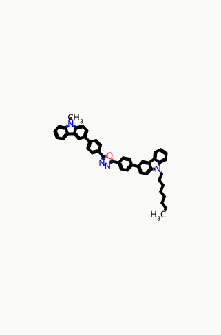 CCCCCCCCn1c2ccccc2c2cc(-c3ccc(-c4nnc(-c5ccc(-c6ccc7c(c6)c6ccccc6n7C)cc5)o4)cc3)ccc21